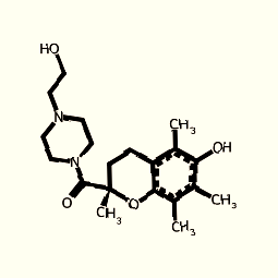 Cc1c(C)c2c(c(C)c1O)CC[C@@](C)(C(=O)N1CCN(CCO)CC1)O2